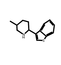 CC1CCC(c2csc3ccccc23)NC1